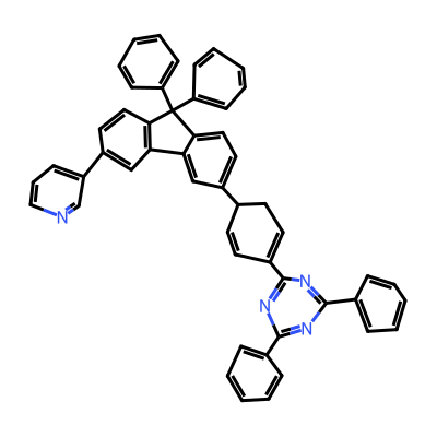 C1=CC(c2ccc3c(c2)-c2cc(-c4cccnc4)ccc2C3(c2ccccc2)c2ccccc2)CC=C1c1nc(-c2ccccc2)nc(-c2ccccc2)n1